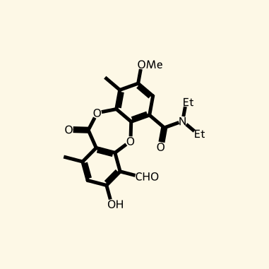 CCN(CC)C(=O)c1cc(OC)c(C)c2c1Oc1c(C=O)c(O)cc(C)c1C(=O)O2